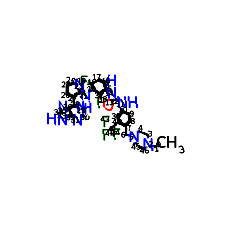 CCN1CCN(Cc2ccc(NC(=O)Nc3ccc(F)c(Nc4ncccc4-c4ncnc5[nH]cnc45)c3F)cc2C(F)(F)F)CC1